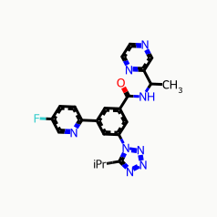 CC(C)c1nnnn1-c1cc(C(=O)NC(C)c2cnccn2)cc(-c2ccc(F)cn2)c1